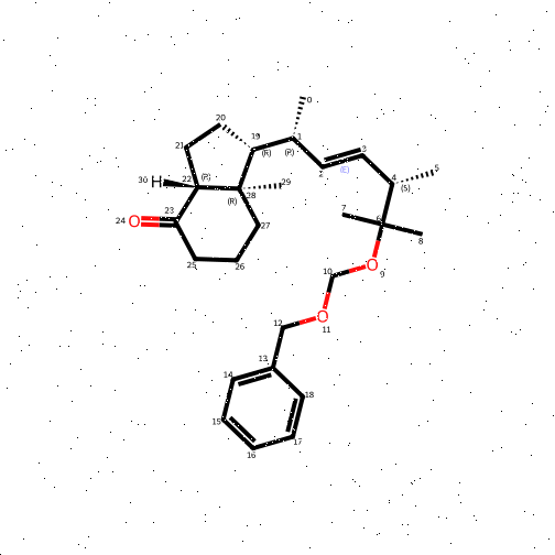 C[C@H](/C=C/[C@H](C)C(C)(C)OCOCc1ccccc1)[C@H]1CC[C@H]2C(=O)CCC[C@]12C